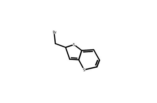 BrCC1C=C2SC=CC=C2S1